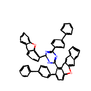 c1ccc(-c2ccc(C3=NC(c4cccc5c4oc4ccccc45)NC(c4c(-c5ccc(-c6ccccc6)cc5)ccc5oc6cc7ccccc7cc6c45)=N3)cc2)cc1